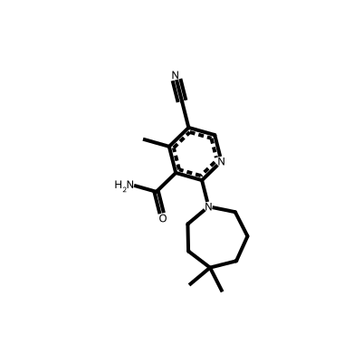 Cc1c(C#N)cnc(N2CCCC(C)(C)CC2)c1C(N)=O